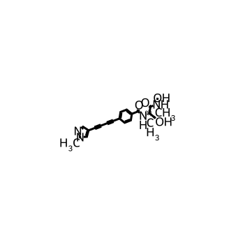 Cn1cc(C#CC#Cc2ccc(C(=O)N[C@H](C(=O)NO)C(C)(C)O)cc2)cn1